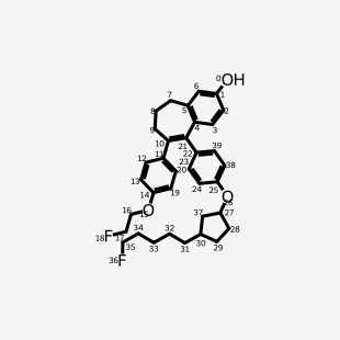 Oc1ccc2c(c1)CCCC(c1ccc(OCCF)cc1)=C2c1ccc(OC2CCC(CCCCCF)C2)cc1